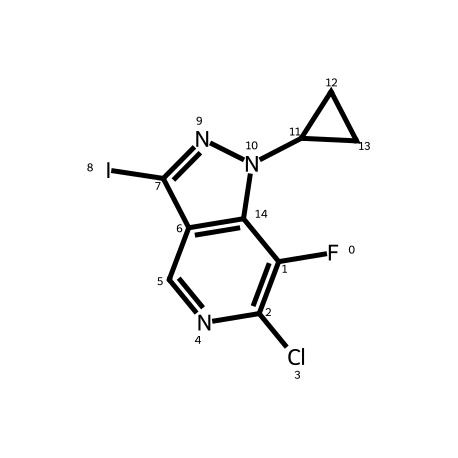 Fc1c(Cl)ncc2c(I)nn(C3CC3)c12